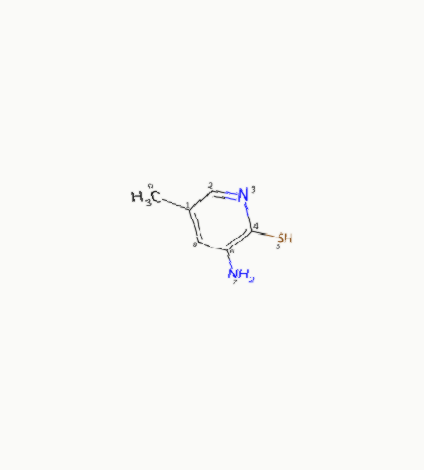 Cc1cnc(S)c(N)c1